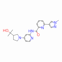 Cn1cc(-c2cccc(C(=O)Nc3cc(N4CCC(C(C)(C)O)C4)ccn3)n2)cn1